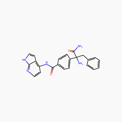 NC(=O)C(N)(Cc1ccccc1)c1ccc(C(=O)Nc2ccnc3[nH]ccc23)cc1